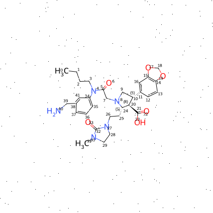 CCCCN(C(=O)CN1C[C@H](c2ccc3c(c2)OCO3)[C@@H](C(=O)O)[C@@H]1CCN1CCN(C)C1=O)c1cccc(CN)c1